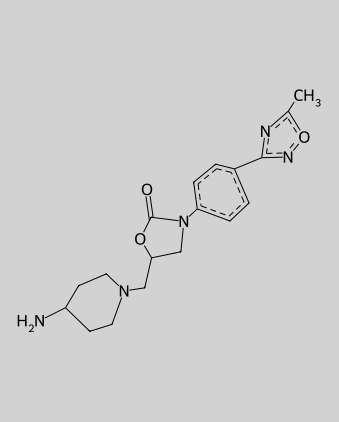 Cc1nc(-c2ccc(N3CC(CN4CCC(N)CC4)OC3=O)cc2)no1